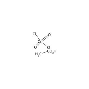 CC(=O)O.[O]=[Cr](=[O])([Cl])[Cl]